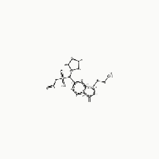 C=CCS(=O)(=O)C(c1ccc2[nH]cc(CCO)c2c1)N1CCCC1